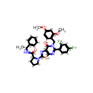 COc1ccc(Cn2c(-c3ccc(F)cc3F)nc3sc(N4CCCC4C(=O)N[C@H](C)c4ccccc4)nc3c2=O)c(OC)c1